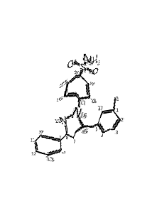 Cc1cccc(C2CC(c3ccccc3)=NN2c2ccc(S(N)(=O)=O)cc2)c1